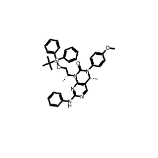 COc1ccc(N2C(=O)N([C@H](C)CO[Si](c3ccccc3)(c3ccccc3)C(C)(C)C)c3nc(Nc4ccccc4)ncc3[C@H]2C)cc1